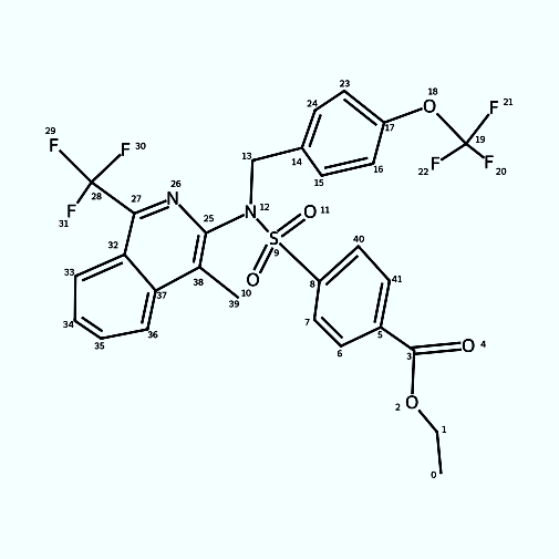 CCOC(=O)c1ccc(S(=O)(=O)N(Cc2ccc(OC(F)(F)F)cc2)c2nc(C(F)(F)F)c3ccccc3c2C)cc1